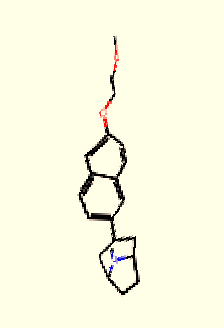 COCCOc1ccc2cc(C3CC4CCC(C3)N4C)ccc2c1